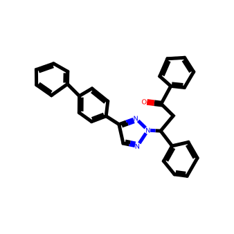 O=C(CC(c1ccccc1)n1ncc(-c2ccc(-c3ccccc3)cc2)n1)c1ccccc1